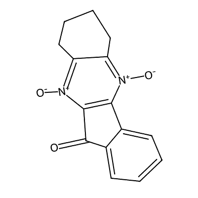 O=C1c2ccccc2-c2c1[n+]([O-])c1c([n+]2[O-])CCCC1